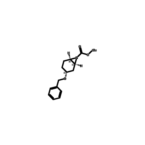 CC(C)(C)OC(=O)N1[C@@H]2CC[C@@H](OCc3ccccc3)C[C@@H]21